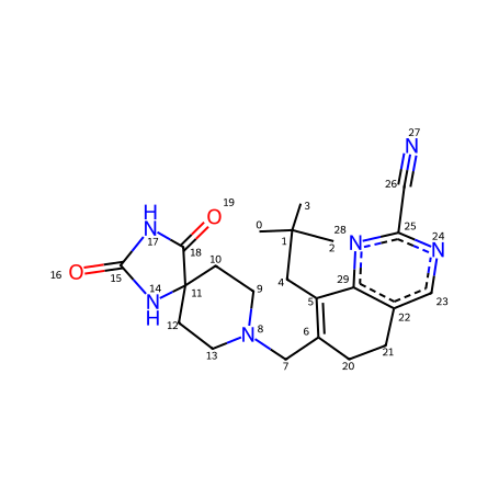 CC(C)(C)CC1=C(CN2CCC3(CC2)NC(=O)NC3=O)CCc2cnc(C#N)nc21